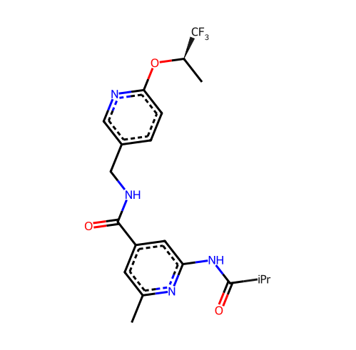 Cc1cc(C(=O)NCc2ccc(O[C@H](C)C(F)(F)F)nc2)cc(NC(=O)C(C)C)n1